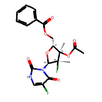 CC(=O)O[C@]1(C)[C@@H](COC(=O)c2ccccc2)O[C@H](n2c(=O)[nH]cc(F)c2=O)[C@]1(C)F